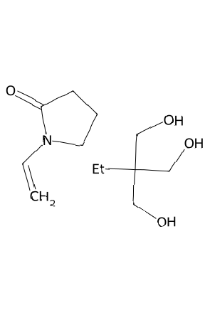 C=CN1CCCC1=O.CCC(CO)(CO)CO